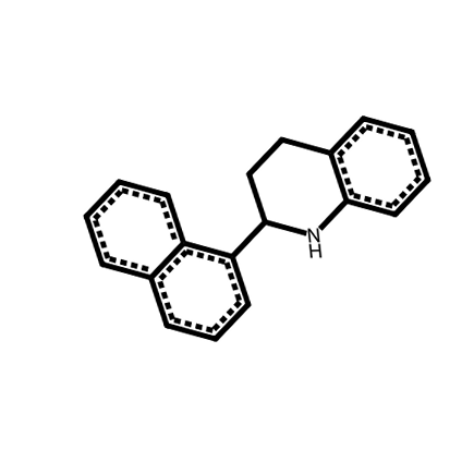 c1ccc2c(c1)CCC(c1cccc3ccccc13)N2